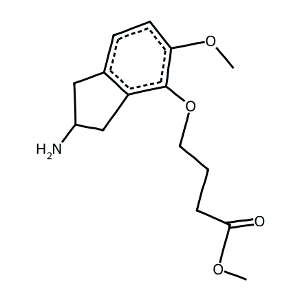 COC(=O)CCCOc1c(OC)ccc2c1CC(N)C2